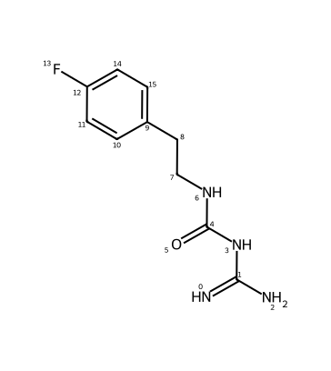 N=C(N)NC(=O)NCCc1ccc(F)cc1